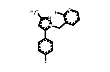 Cc1cc(-c2ccc(F)cc2)n(Cc2cccnc2F)n1